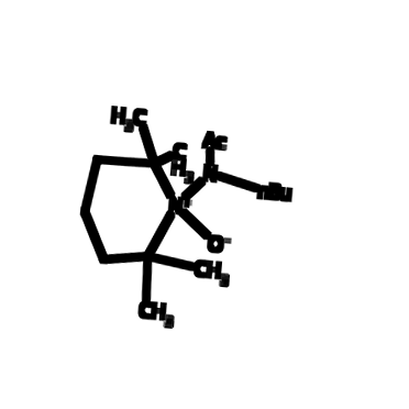 CCCCN(C(C)=O)[N+]1([O-])C(C)(C)CCCC1(C)C